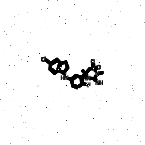 CN1C(=N)NC(C)(c2cc(N[C@H]3CCc4cc(Cl)ccc43)ccc2F)CS1(=O)=O